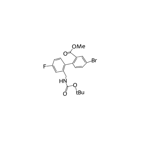 COC(=O)c1cc(Br)ccc1-c1ccc(F)cc1CNC(=O)OC(C)(C)C